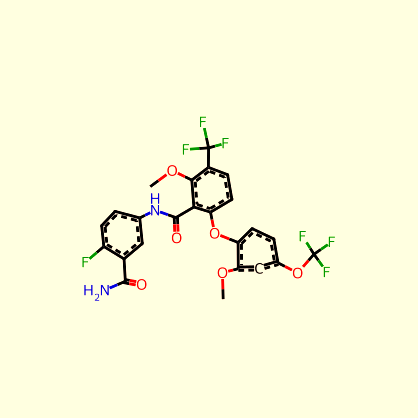 COc1cc(OC(F)(F)F)ccc1Oc1ccc(C(F)(F)F)c(OC)c1C(=O)Nc1ccc(F)c(C(N)=O)c1